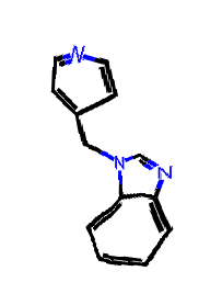 c1ccc2c(c1)ncn2Cc1ccncc1